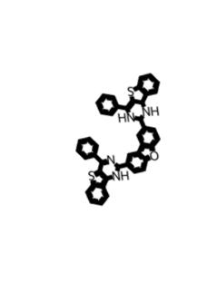 c1ccc(C2=NC(c3ccc4oc5ccc(C6NC(c7ccccc7)=C7Sc8ccccc8C7N6)cc5c4c3)Nc3c2sc2ccccc32)cc1